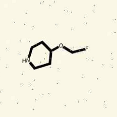 FCOC1CCNCC1